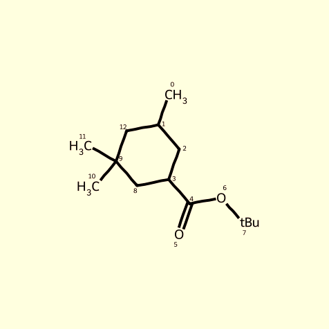 CC1CC(C(=O)OC(C)(C)C)CC(C)(C)C1